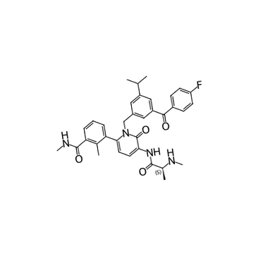 CNC(=O)c1cccc(-c2ccc(NC(=O)[C@H](C)NC)c(=O)n2Cc2cc(C(=O)c3ccc(F)cc3)cc(C(C)C)c2)c1C